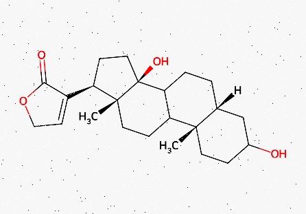 C[C@]12CCC(O)C[C@H]1CCC1C2CC[C@]2(C)[C@@H](C3=CCOC3=O)CC[C@]12O